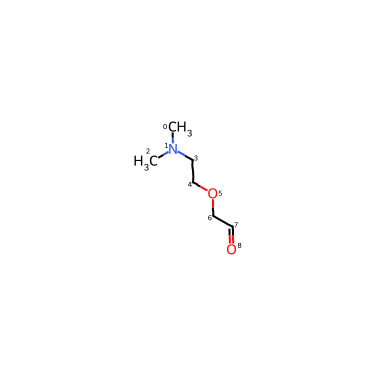 CN(C)CCOCC=O